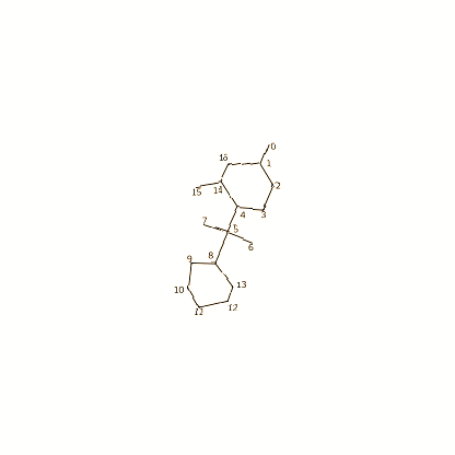 CC1CCC(C(C)(C)C2CCCCC2)C(C)C1